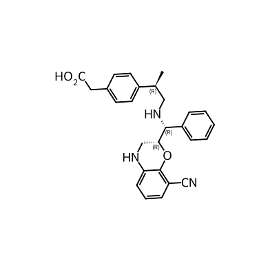 C[C@@H](CN[C@H](c1ccccc1)[C@H]1CNc2cccc(C#N)c2O1)c1ccc(CC(=O)O)cc1